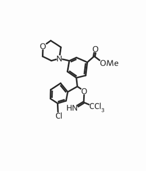 COC(=O)c1cc(C(OC(=N)C(Cl)(Cl)Cl)c2cccc(Cl)c2)cc(N2CCOCC2)c1